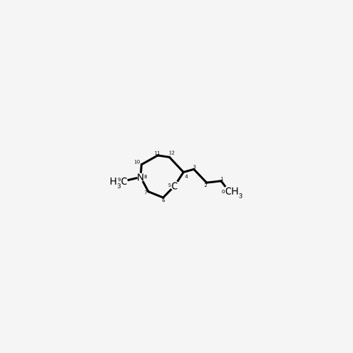 CCCCC1CCCN(C)CCC1